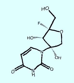 O=c1ccn([C@]2(O)CO[C@](F)(CO)[C@H]2O)c(=O)[nH]1